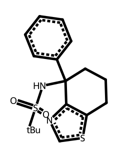 CC(C)(C)S(=O)(=O)NC1(c2ccccc2)CCCc2scnc21